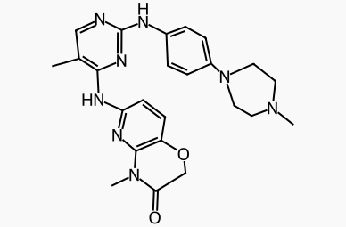 Cc1cnc(Nc2ccc(N3CCN(C)CC3)cc2)nc1Nc1ccc2c(n1)N(C)C(=O)CO2